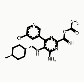 C[C@H]1CC[C@H](CNc2c(N)nc(C(=N)OC(N)=O)nc2-c2cncc(Cl)c2)CC1